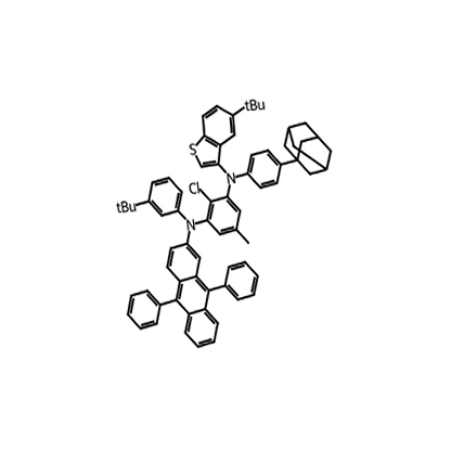 Cc1cc(N(c2cccc(C(C)(C)C)c2)c2ccc3c(-c4ccccc4)c4ccccc4c(-c4ccccc4)c3c2)c(Cl)c(N(c2ccc(C34CC5CC(CC(C5)C3)C4)cc2)c2csc3ccc(C(C)(C)C)cc23)c1